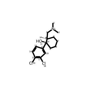 CN(C)C[C@@]1(C)CCCC[C@]1(O)c1ccc(Cl)c(Cl)c1